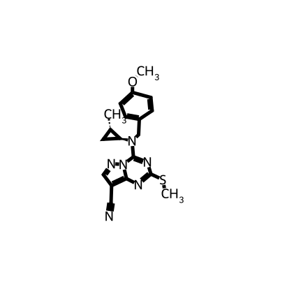 COc1ccc(CN(c2nc(SC)nc3c(C#N)cnn23)[C@H]2C[C@@H]2C)cc1